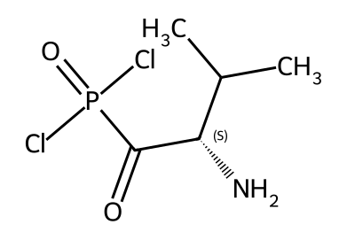 CC(C)[C@H](N)C(=O)P(=O)(Cl)Cl